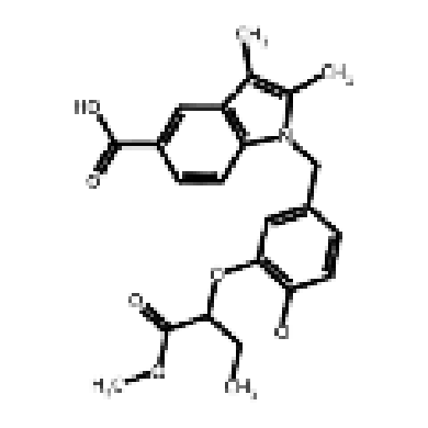 CCC(Oc1cc(Cn2c(C)c(C)c3cc(C(=O)O)ccc32)ccc1Cl)C(=O)OC